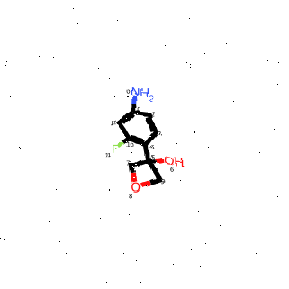 Nc1ccc(C2(O)COC2)c(F)c1